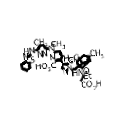 CCOC1(NCCC(=O)O)C2CC3(C)CC(C)(C2)CC1(Cn1ncc(-c2ccc(N(C)c4cc(C)c(Nc5nc6ccccc6s5)nn4)nc2C(=O)O)c1C)C3